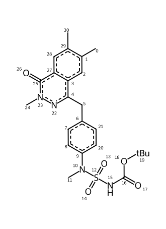 Cc1cc2c(Cc3ccc(N(C)S(=O)(=O)NC(=O)OC(C)(C)C)cc3)nn(C)c(=O)c2cc1C